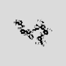 CCOc1nnc(-c2cc(NC(=O)c3cnnc(C(C)(C)C#N)c3)ccc2C)cc1N1CCOC(CCOc2nnc(-c3cc(NC(=O)c4ccnc(C(F)(F)F)c4)ccc3C)cc2N2CCOCC2)C1